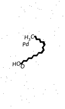 CCCCC/C=C\C/C=C\CCCCCCCC(=O)O.[Pd]